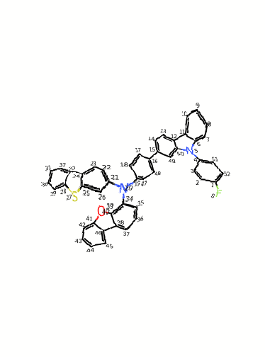 Fc1ccc(-n2c3ccccc3c3ccc(-c4ccc(N(c5ccc6c(c5)sc5ccccc56)c5cccc6c5oc5ccccc56)cc4)cc32)cc1